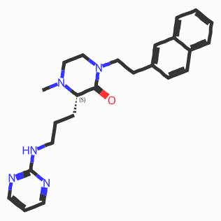 CN1CCN(CCc2ccc3ccccc3c2)C(=O)[C@@H]1CCCNc1ncccn1